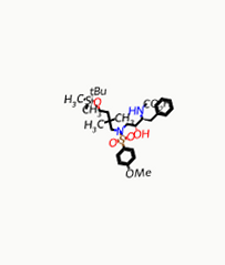 COc1ccc(S(=O)(=O)N(C[C@@H](O)[C@H](Cc2ccccc2)NC(=O)O)CC(C)(C)CCO[Si](C)(C)C(C)(C)C)cc1